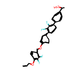 C=CCOc1ccc(COC2CCC(c3ccc(-c4ccc(C(C)O)cc4)c(F)c3F)CC2)c(F)c1F